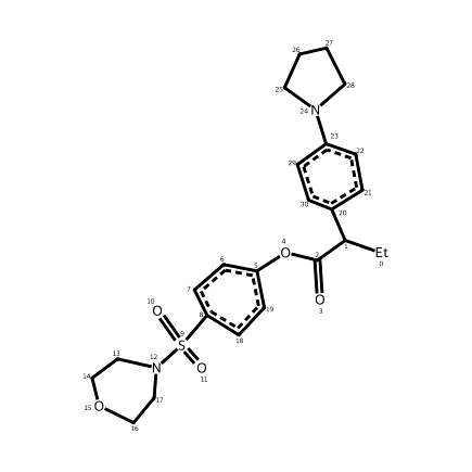 CCC(C(=O)Oc1ccc(S(=O)(=O)N2CCOCC2)cc1)c1ccc(N2CCCC2)cc1